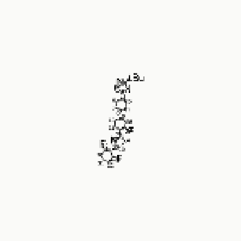 CC(C)(C)c1noc(-c2ccc(-c3ccc(C4CCC(c5c(F)cccc5F)=N4)c(F)c3)cc2)n1